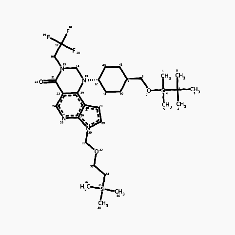 CC(C)(C)[Si](C)(C)OC[C@H]1CC[C@H](N2CN(CC(F)(F)F)C(=O)c3cnc4c(ccn4COCC[Si](C)(C)C)c32)CC1